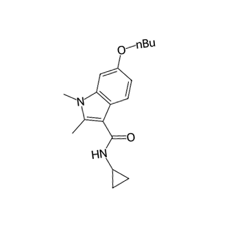 CCCCOc1ccc2c(C(=O)NC3CC3)c(C)n(C)c2c1